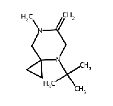 C=C1CN(C(C)(C)C)C2(CC2)CN1C